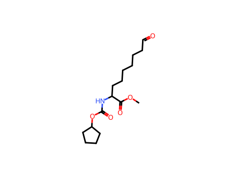 COC(=O)C(CCCCCCC=O)NC(=O)OC1CCCC1